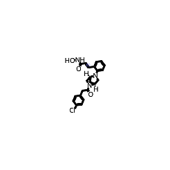 O=C(/C=C/c1ccccc1N1C[C@@H]2C[C@H]1CN2C(=O)Cc1ccc(Cl)cc1)NO